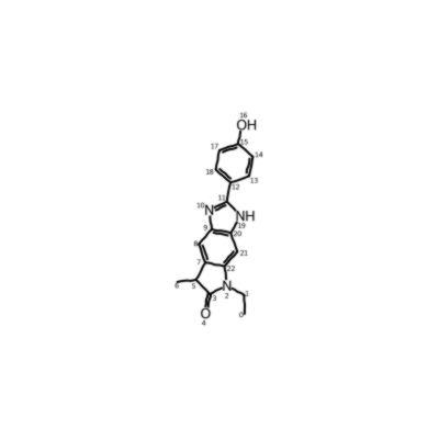 CCN1C(=O)C(C)c2cc3nc(-c4ccc(O)cc4)[nH]c3cc21